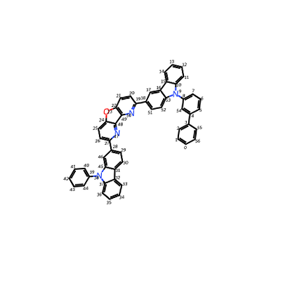 c1ccc(-c2cccc(-n3c4ccccc4c4cc(-c5ccc6oc7ccc(-c8ccc9c%10ccccc%10n(-c%10ccccc%10)c9c8)nc7c6n5)ccc43)c2)cc1